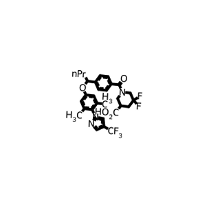 CCCC(Oc1cc(C)c(-n2cc(C(F)(F)F)cn2)c(C)c1)c1ccc(C(=O)N2CC(C(=O)O)CC(F)(F)C2)cc1